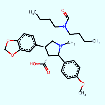 CCCCN(C=O)CCCC.COc1ccc(C2[C@H](C(=O)O)[C@@H](c3ccc4c(c3)OCO4)CN2C)cc1